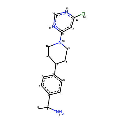 CC(N)c1ccc(C2CCN(c3cc(Cl)ncn3)CC2)cc1